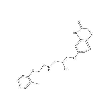 Cc1ccccc1OCCNCC(O)COc1ccc2c(c1)NC(=O)CC2